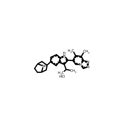 Cc1c(-c2[nH]c3ccc(C4CC5CCC(C4)N5)cc3c2C(C)C)cn2cnnc2c1C.Cl